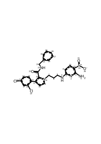 Nc1nc(NCCCn2ccc(-c3ccc(Cl)cc3Cl)c2C(=O)NCc2ccccc2)ccc1[N+](=O)[O-]